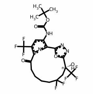 CC(C)(C)OC(=O)Nc1cc(C(F)(F)F)c2nc1-c1nnc(o1)[C@@](O)(C(F)(F)F)CC(F)(F)CCCCC2=O